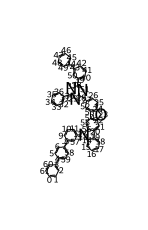 c1ccc(-c2ccc(-c3cccc(-n4c5ccccc5c5cc6oc7ccc(-c8nc(-c9ccccc9)nc(-c9cccc(-c%10ccccc%10)c9)n8)cc7c6cc54)c3)cc2)cc1